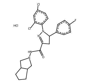 Cl.O=C(NN1CC2CCCC2C1)C1=NN(c2ccc(Cl)cc2Cl)C(c2ccc(F)cc2)C1